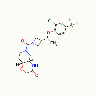 CC(Oc1ccc(C(F)(F)F)cc1Cl)C1CN(C(=O)N2CC[C@H]3OCC(=O)N[C@H]3C2)C1